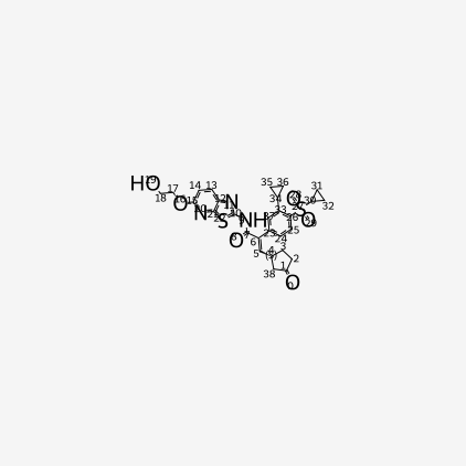 O=C1CC[C@H](C=C(C(=O)Nc2nc3ccc(OCCO)nc3s2)c2ccc(S(=O)(=O)C3CC3)c(C3CC3)c2)C1